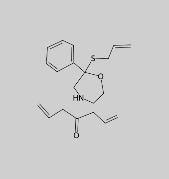 C=CCC(=O)CC=C.C=CCSC1(c2ccccc2)CNCCO1